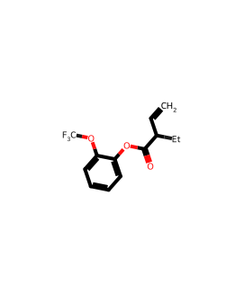 C=CC(CC)C(=O)Oc1ccccc1OC(F)(F)F